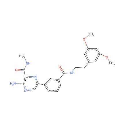 CNC(=O)c1nc(-c2cccc(C(=O)NCCc3cc(OC)cc(OC)c3)c2)cnc1N